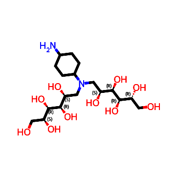 NC1CCC(N(C[C@H](O)[C@@H](O)[C@H](O)[C@H](O)CO)C[C@H](O)[C@@H](O)[C@H](O)[C@@H](O)CO)CC1